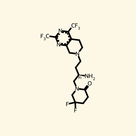 N[C@H](CCN1CCc2c(nc(C(F)(F)F)nc2C(F)(F)F)C1)CN1CC(F)(F)CCC1=O